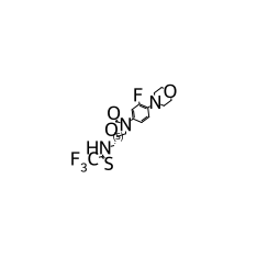 O=C1O[C@@H](CNC(=S)C(F)(F)F)CN1c1ccc(N2CCOCC2)c(F)c1